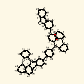 c1ccc(-c2ccccc2N(c2ccc(-c3ccc4c(c3)oc3ccccc34)cc2)c2ccc(-c3ccc4c5ccc6ccccc6c5n(-c5ccccc5)c4c3)cc2)cc1